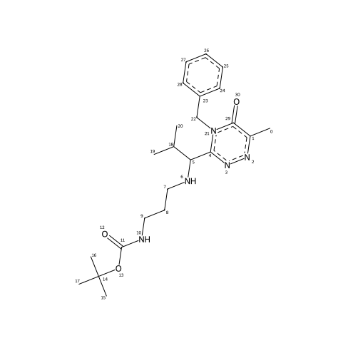 Cc1nnc(C(NCCCNC(=O)OC(C)(C)C)C(C)C)n(Cc2ccccc2)c1=O